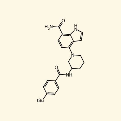 CC(C)(C)c1ccc(C(=O)NC2CCCN(c3ccc(C(N)=O)c4[nH]ccc34)C2)cc1